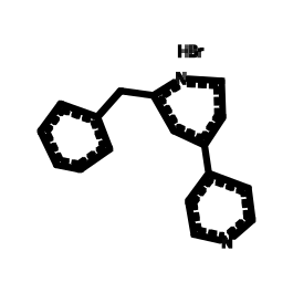 Br.c1ccc(Cc2cc(-c3ccncc3)ccn2)cc1